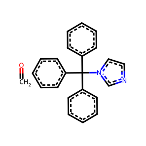 C=O.c1ccc(C(c2ccccc2)(c2ccccc2)n2ccnc2)cc1